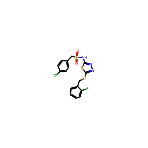 O=S(=O)(Cc1ccc(Cl)cc1)Nc1nnc(SCc2ccccc2F)s1